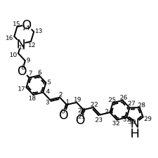 O=C(/C=C/c1ccc(OCCN2CCOCC2)cc1)CC(=O)/C=C/c1ccc2cc[nH]c2c1